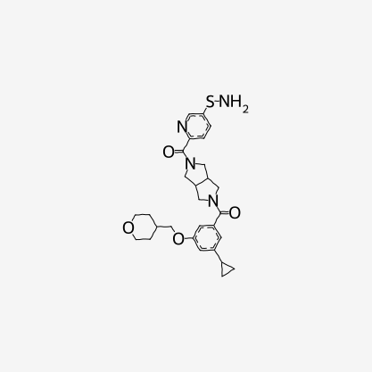 NSc1ccc(C(=O)N2CC3CN(C(=O)c4cc(OCC5CCOCC5)cc(C5CC5)c4)CC3C2)nc1